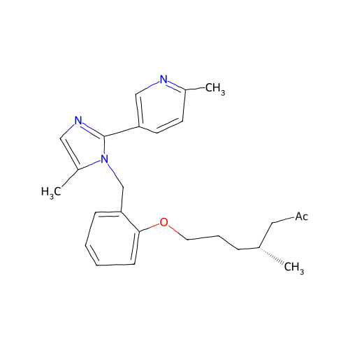 CC(=O)C[C@H](C)CCCOc1ccccc1Cn1c(C)cnc1-c1ccc(C)nc1